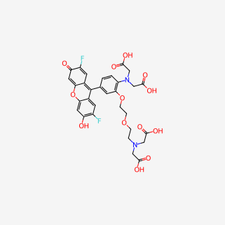 O=C(O)CN(CCOCCOc1cc(-c2c3cc(F)c(=O)cc-3oc3cc(O)c(F)cc23)ccc1N(CC(=O)O)CC(=O)O)CC(=O)O